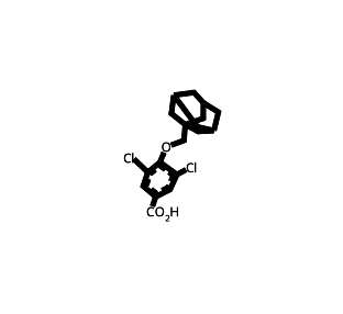 O=C(O)c1cc(Cl)c(OCC23CC4CC(CC(C4)C2)C3)c(Cl)c1